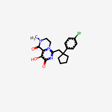 CN1CCn2c(CC3(c4ccc(Br)cc4)CCCC3)nc(=O)c(O)c2C1=O